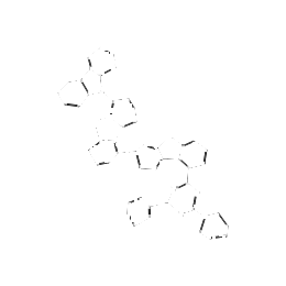 C1=Cc2c(c3ccccc3n2-c2cccc3c2sc2cccc(-c4ccc5c(c4)sc4cccc(C6=NC(c7ccccc7)NC(c7ccccc7)=N6)c45)c23)CC1